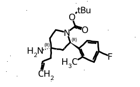 C=CC[C@@]1(N)CCN(C(=O)OC(C)(C)C)[C@@H](c2ccc(F)cc2C)C1